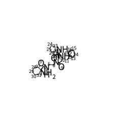 NC1(C(=O)NCCNC(=O)[C@@H](Cc2ccccc2)NC(=O)C2(N)CCCC2)CCCCC1